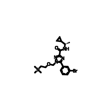 C[C@H](NC(=O)c1nc(-c2cccc(Br)c2)n(COCC[Si](C)(C)C)n1)C1CC1